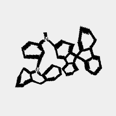 CN(c1cccc(N2c3ccccc3Cc3ccccc32)c1)c1ccc2c(c1)-c1ccccc1C21c2ccccc2-c2ccccc21